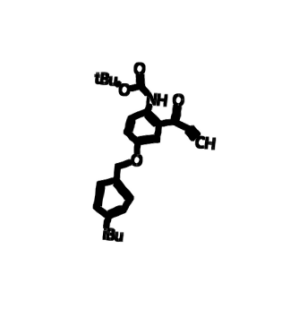 C#CC(=O)c1cc(OCc2ccc(C(C)CC)cc2)ccc1NC(=O)OC(C)(C)C